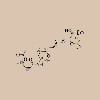 CC(=O)O[C@@H](C)/C=C\C(=O)N[C@@H]1C[C@H](C)[C@H](C/C=C(C)/C=C/C2OC3(CC3)C[C@@]3(CO3)[C@@H]2O)O[C@@H]1C